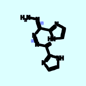 C=C(/N=N\C(=N/N)c1ncc[nH]1)c1ncc[nH]1